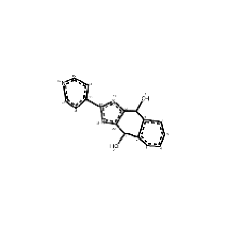 OC1c2ccccc2C(O)c2sc(-c3ccncc3)nc21